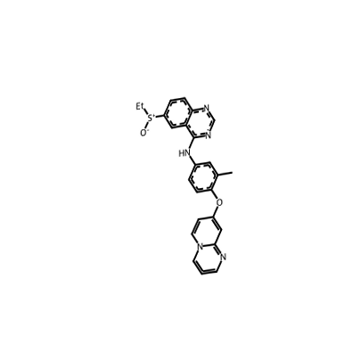 CC[S+]([O-])c1ccc2ncnc(Nc3ccc(OC4=CC5=NC=C=CN5C=C4)c(C)c3)c2c1